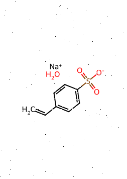 C=Cc1ccc(S(=O)(=O)[O-])cc1.O.[Na+]